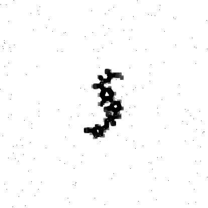 CN(CC(N)=O)C(=O)c1ccc(N2CCC(NS(=O)(=O)/C=C/c3ccc(Cl)s3)C2=O)c(F)c1